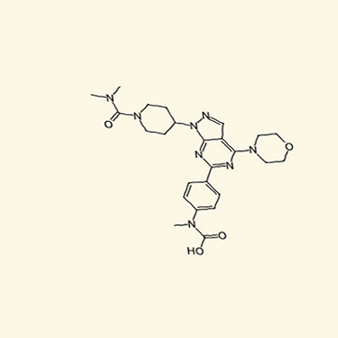 CN(C)C(=O)N1CCC(n2ncc3c(N4CCOCC4)nc(-c4ccc(N(C)C(=O)O)cc4)nc32)CC1